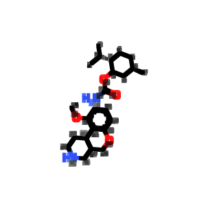 CC(C)[C@@H]1CC[C@@H](C)CC1OC(N)=O.COc1cccc2c1C1CCNCC1CO2